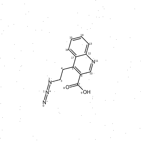 [N-]=[N+]=NCCc1c(C(=O)O)cnc2ccccc12